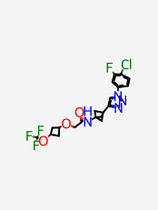 O=C(COC1CC(OC(F)(F)F)C1)NC12CC(c3cn(-c4ccc(Cl)c(F)c4)nn3)(C1)C2